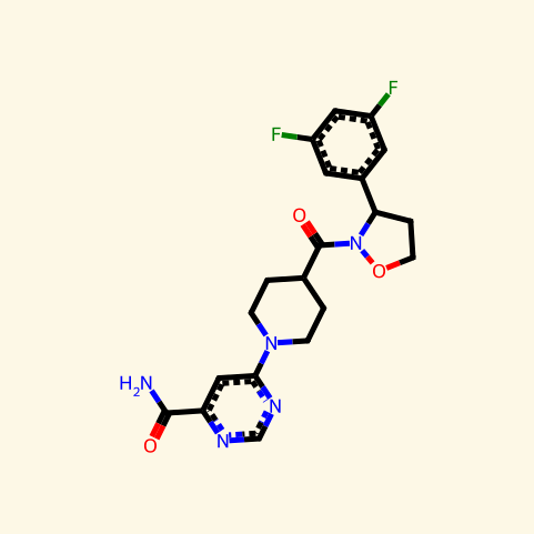 NC(=O)c1cc(N2CCC(C(=O)N3OCCC3c3cc(F)cc(F)c3)CC2)ncn1